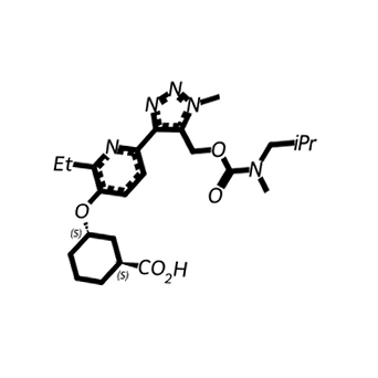 CCc1nc(-c2nnn(C)c2COC(=O)N(C)CC(C)C)ccc1O[C@H]1CCC[C@H](C(=O)O)C1